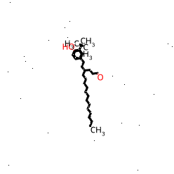 CCCCCCCCCCCCCCC(CCC=O)CCc1ccc(O)c(C(C)(C)C)c1